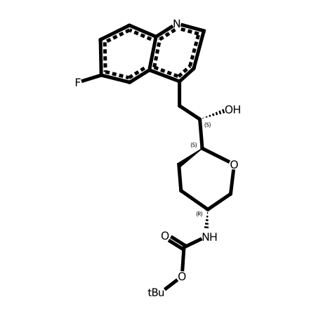 CC(C)(C)OC(=O)N[C@@H]1CC[C@@H]([C@@H](O)Cc2ccnc3ccc(F)cc23)OC1